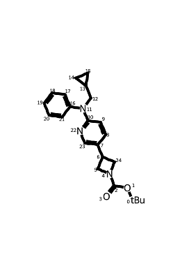 CC(C)(C)OC(=O)N1CC(c2ccc(N(CC3CC3)c3ccccc3)nc2)C1